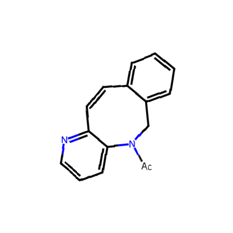 CC(=O)N1Cc2ccccc2/C=C\c2ncccc21